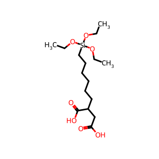 CCO[Si](CCCCCCC(CC(=O)O)C(=O)O)(OCC)OCC